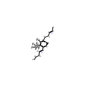 C/C=C/CCc1ccc(/C=C/CCC)c(S(F)(F)(F)(F)F)c1F